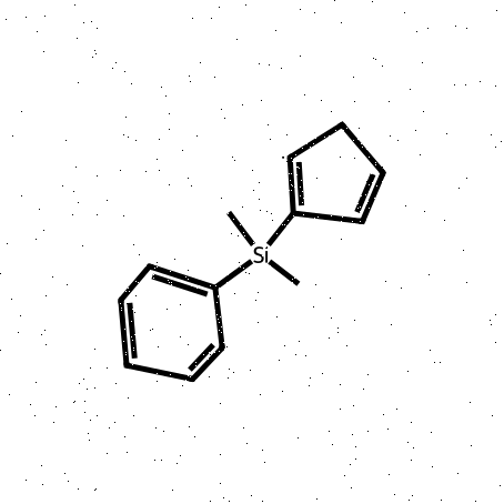 C[Si](C)(C1=[C]CC=C1)c1ccccc1